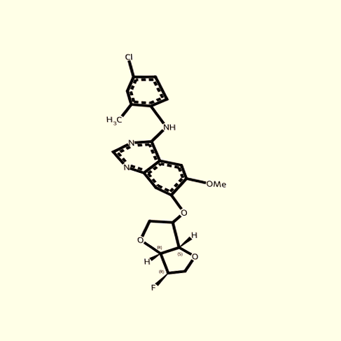 COc1cc2c(Nc3ccc(Cl)cc3C)ncnc2cc1OC1CO[C@H]2[C@H](F)CO[C@@H]12